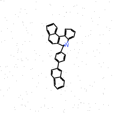 c1ccc2cc(-c3ccc(-c4nc5ccccc5c5c4ccc4ccccc45)cc3)ccc2c1